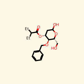 CCC(CC)C(=O)O[C@@H]1CC(O)O[C@H](CO)[C@H]1OCc1ccccc1